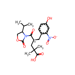 CC(C)C1COC(=O)N1C(=O)[C@@H](Cc1ccc(O)cc1[N+](=O)[O-])CC(C)(C)C(=O)O